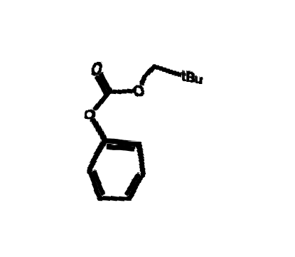 CC(C)(C)COC(=O)Oc1ccccc1